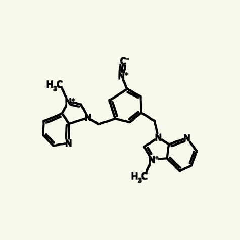 [C-]#[N+]c1cc(Cn2c[n+](C)c3cccnc32)cc(Cn2c[n+](C)c3cccnc32)c1